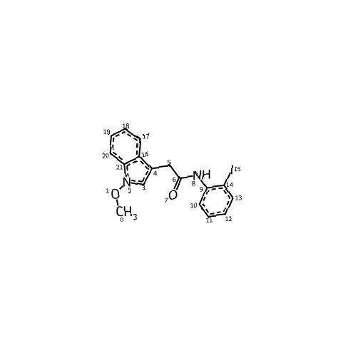 COn1cc(CC(=O)Nc2ccccc2I)c2ccccc21